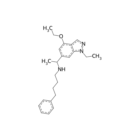 CCOc1cc(C(C)NCCCCc2ccccc2)cc2c1cnn2CC